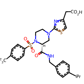 CC(C)c1ccc(CNC(=O)[C@H]2CN(c3nc(CC(=O)O)cs3)CCN2S(=O)(=O)c2ccc(C(F)(F)F)cc2)cc1